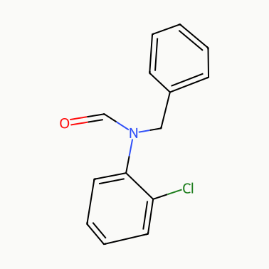 O=CN(Cc1ccccc1)c1ccccc1Cl